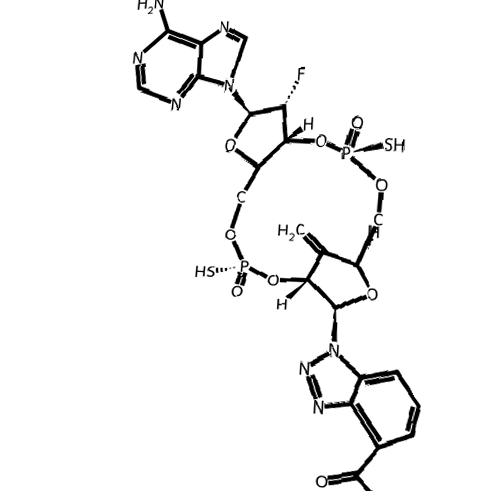 C=C1[C@H]2O[P@](=O)(S)OCC3O[C@@H](n4cnc5c(N)ncnc54)[C@H](F)[C@@H]3O[P@@](=O)(S)OC[C@H]1O[C@H]2n1nnc2c(C(N)=O)cccc21